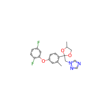 Cc1cc(Oc2cc(F)ccc2F)ccc1C1(Cn2cncn2)OCC(C)O1